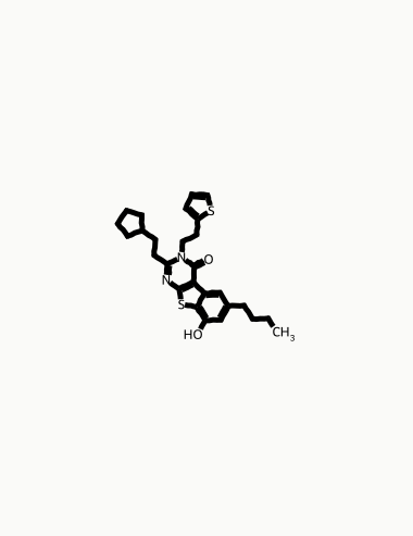 CCCCc1cc(O)c2sc3nc(CCC4CCCC4)n(CCc4cccs4)c(=O)c3c2c1